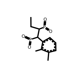 CCC(C(c1cccc(C)c1C)P(=O)=O)P(=O)=O